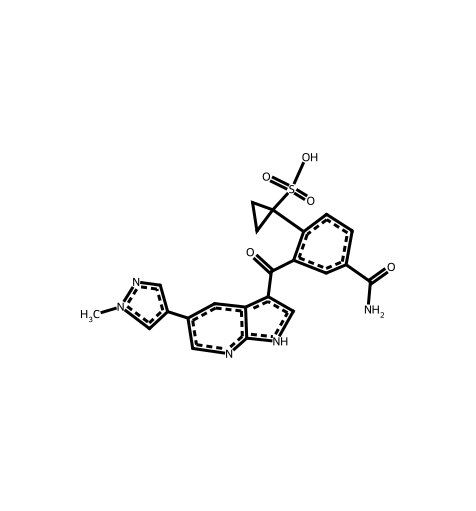 Cn1cc(-c2cnc3[nH]cc(C(=O)c4cc(C(N)=O)ccc4C4(S(=O)(=O)O)CC4)c3c2)cn1